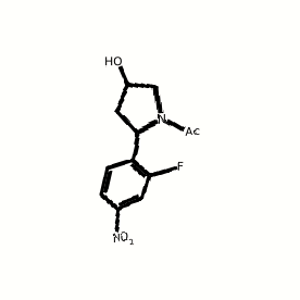 CC(=O)N1CC(O)CC1c1ccc([N+](=O)[O-])cc1F